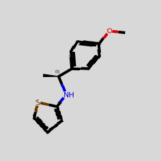 COc1ccc([C@H](C)Nc2cccs2)cc1